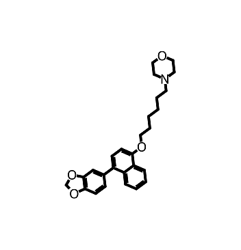 c1ccc2c(-c3ccc4c(c3)OCO4)ccc(OCCCCCCN3CCOCC3)c2c1